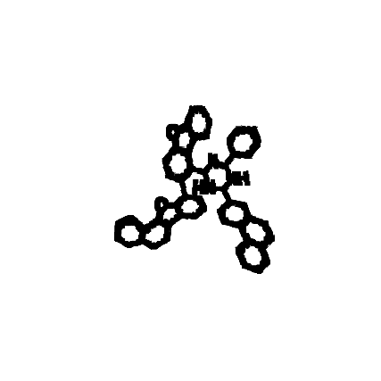 c1ccc(C2=NC(c3c(-c4cccc5c4oc4c6ccccc6ccc54)ccc4oc5ccccc5c34)NC(c3ccc4c(ccc5ccccc54)c3)N2)cc1